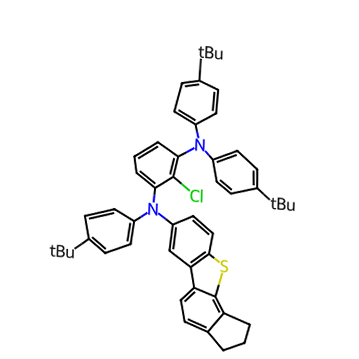 CC(C)(C)c1ccc(N(c2ccc(C(C)(C)C)cc2)c2cccc(N(c3ccc(C(C)(C)C)cc3)c3ccc4sc5c6c(ccc5c4c3)CCC6)c2Cl)cc1